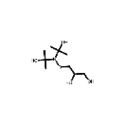 CC(C)(O)N(OCC(O)CO)C(C)(C)O